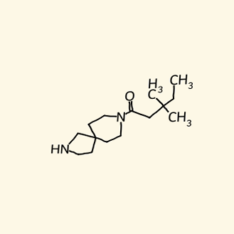 CCC(C)(C)CC(=O)N1CCC2(CCNC2)CC1